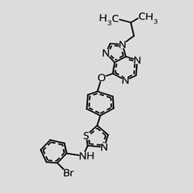 CC(C)Cn1cnc2c(Oc3ccc(-c4cnc(Nc5ccccc5Br)s4)cc3)ncnc21